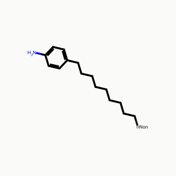 CCCCCCCCCCCCCCCCCCc1ccc(N)cc1